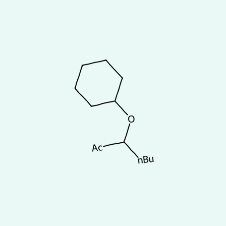 CCCCC(OC1CCCCC1)C(C)=O